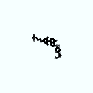 CC(=O)[C@H]1C[C@@H]1c1cnc(N[C@@H]2CCc3c(-c4c(C)cc(OCCCS(C)(=O)=O)cc4C)ccc(F)c32)cn1